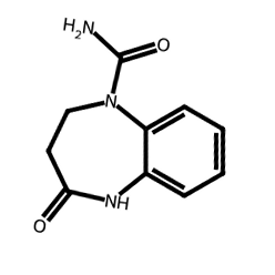 NC(=O)N1CCC(=O)Nc2ccccc21